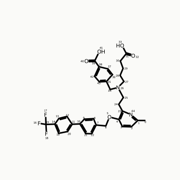 Cc1ccc(OCc2ccc(-c3ccc(C(F)(F)F)cc3)cc2)c(CCN(CCCCC(=O)O)Cc2ccc(C(=O)O)cc2)n1